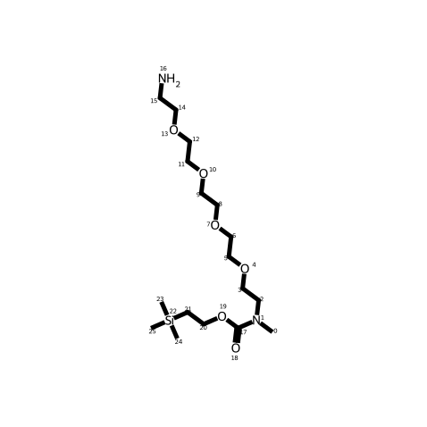 CN(CCOCCOCCOCCOCCN)C(=O)OCC[Si](C)(C)C